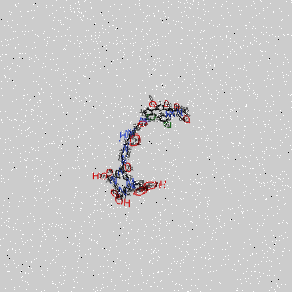 COc1cc2c(cc1-c1cccc(/C(C)=N/OCCNC(=O)CN3CCN(C(=O)CN4CCN(CC(=O)O)CCN(CC(=O)O)CCN(CC(=O)O)CC4)CC3)c1)-c1c(c(C(=O)N3CCOCC3(C)C)nn1-c1cc(Cl)cc(Cl)c1)CO2